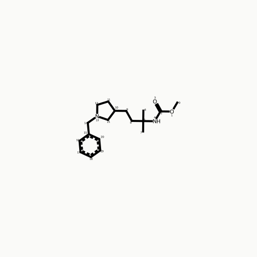 COC(=O)NC(C)(C)CCC1CCN(Cc2ccccc2)C1